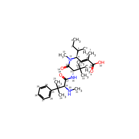 CCC(C)[C@@H](/C=C(\C)C(=O)O)N(C)C(=O)[C@@H](NC(=O)[C@@H](NC)C(C)(C)c1ccccc1)C(C)(C)C